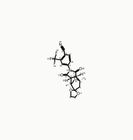 C[C@]12CC3(OCCO3)[C@](C)(O1)[C@@H]1C(=O)N(c3ccc(C#N)c(C(F)(F)F)c3)C(=O)[C@@H]12